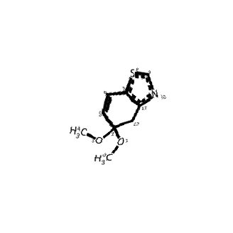 COC1(OC)C=Cc2scnc2C1